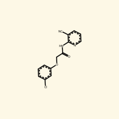 N#Cc1cccnc1NC(=O)COc1cccc(Cl)c1